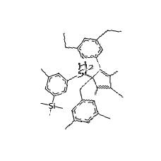 CCc1cc(CC)cc(C2=C(C)C(C)=C(C)C2(Cc2cc(C)cc(C)c2)[SiH2]c2cc(C)cc([Si](C)(C)C)c2)c1